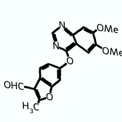 COc1cc2ncnc(Oc3ccc4c(C=O)c(C)oc4c3)c2cc1OC